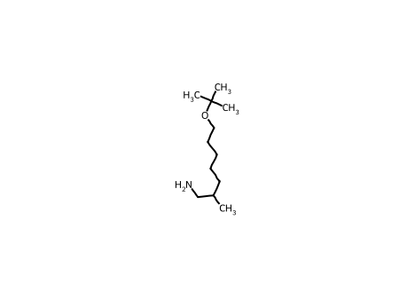 CC(CN)CCCCCOC(C)(C)C